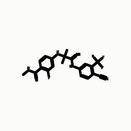 CNC(=O)c1ccc(NC(C)(C)C(=N)Nc2ccc(C#N)c(C(F)(F)F)c2)cc1F